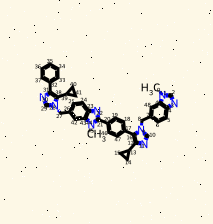 Cn1cnc2ccc(Cn3cnc(C4CC4)c3-c3ccc(-c4nc5ccc(Cn6cnc(-c7ccccc7)c6C6CC6)cc5n4C)cc3)cc21